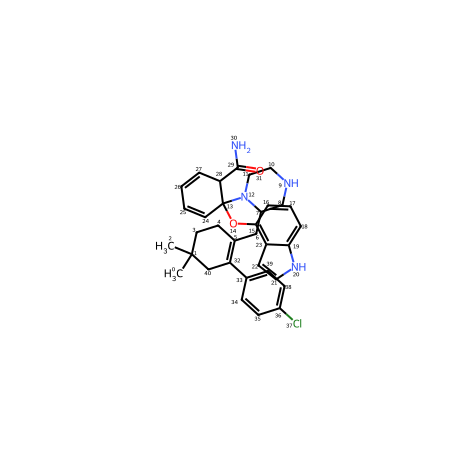 CC1(C)CCC(CC2CNCCN2C2(Oc3cccc4[nH]ccc34)C=CC=CC2C(N)=O)=C(c2ccc(Cl)cc2)C1